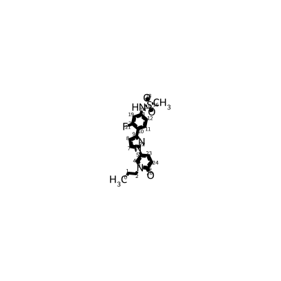 CCCn1cc(-n2ccc(-c3ccc(NS(C)(=O)=O)cc3F)n2)ccc1=O